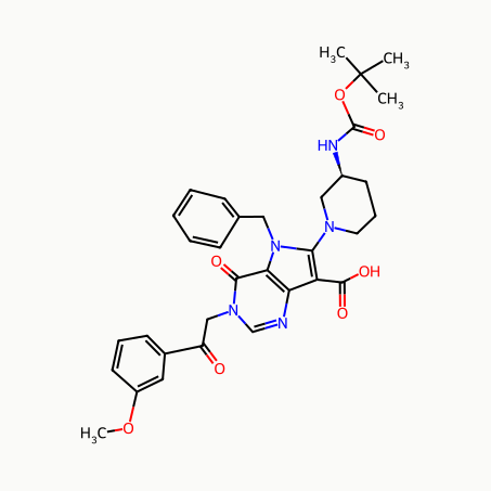 COc1cccc(C(=O)Cn2cnc3c(C(=O)O)c(N4CCC[C@H](NC(=O)OC(C)(C)C)C4)n(Cc4ccccc4)c3c2=O)c1